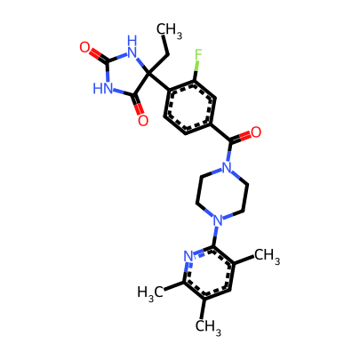 CCC1(c2ccc(C(=O)N3CCN(c4nc(C)c(C)cc4C)CC3)cc2F)NC(=O)NC1=O